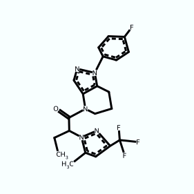 CCC(C(=O)N1CCCc2c1cnn2-c1ccc(F)cc1)n1nc(C(F)(F)F)cc1C